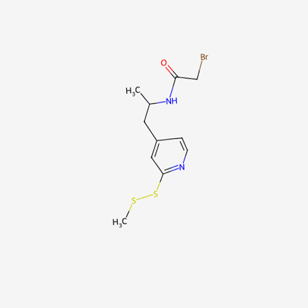 CSSc1cc(CC(C)NC(=O)CBr)ccn1